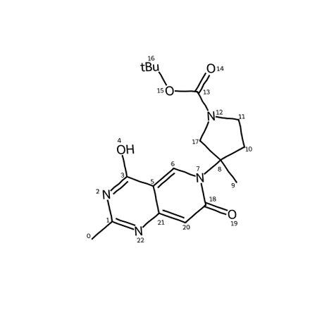 Cc1nc(O)c2cn(C3(C)CCN(C(=O)OC(C)(C)C)C3)c(=O)cc2n1